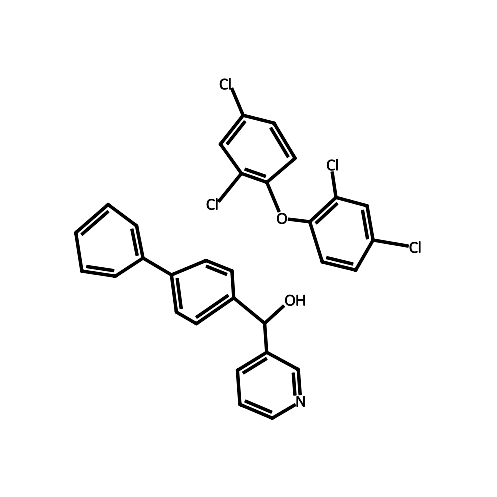 Clc1ccc(Oc2ccc(Cl)cc2Cl)c(Cl)c1.OC(c1ccc(-c2ccccc2)cc1)c1cccnc1